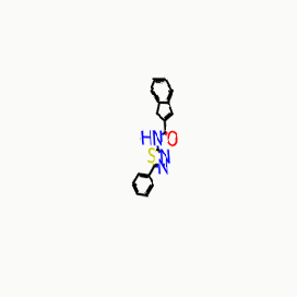 O=C(Nc1nnc(-c2ccccc2)s1)C1=Cc2ccccc2C1